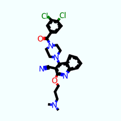 CN(C)CCCOc1nc2ccccc2c(N2CCN(C(=O)c3ccc(Cl)c(Cl)c3)CC2)c1C#N